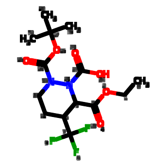 CCOC(=O)C1C(C(F)(F)F)CCN(C(=O)OC(C)(C)C)N1C(=O)O